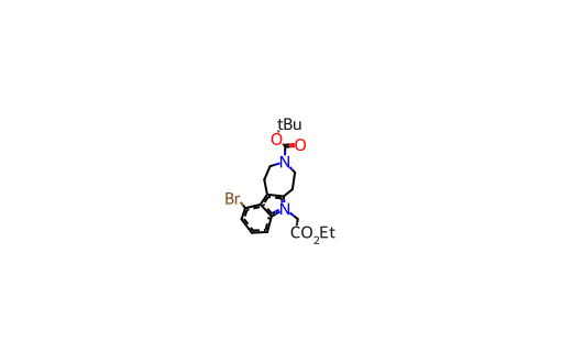 CCOC(=O)Cn1c2c(c3c(Br)cccc31)CCN(C(=O)OC(C)(C)C)CC2